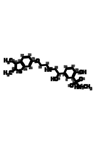 CNS(=O)(=O)c1cc(C(O)CNCCOc2ccc3c(C)c(C)sc3c2)ccc1O